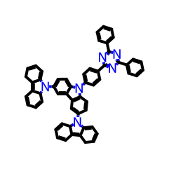 C1=CCC2=C3C=CC=CC3N(c3ccc4c(c3)c3cc(N5C6=CC=CCC6=C6C=CC=CC65)ccc3n4-c3ccc(-c4nc(-c5ccccc5)nc(-c5ccccc5)n4)cc3)C2=C1